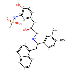 COc1ccc([C@@H](Cc2cccc3ccccc23)NC[C@@H](O)Cc2ccc(O)c(NS(C)(=O)=O)c2)cc1OC